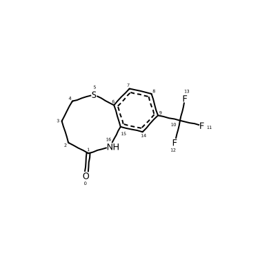 O=C1CCCSc2ccc(C(F)(F)F)cc2N1